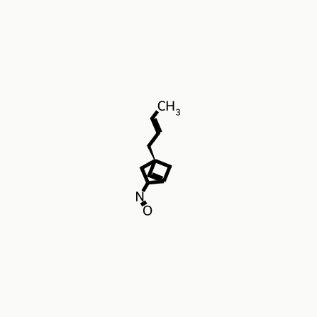 C/C=C/C[C@]12C=C(C1)C(N=O)C2